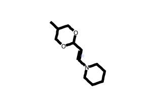 CC1COC(/C=C/N2CCCCC2)OC1